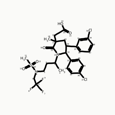 CC(CCN(CC(F)(F)F)S(C)(=O)=O)N1C(=O)C(C)(CC(=O)O)CC(c2cccc(Cl)c2)C1c1ccc(Cl)cc1